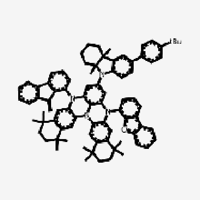 C=C1c2ccccc2-c2cccc(N3c4cc5c(cc4B4c6cc7c(cc6N(c6cccc8c6oc6ccccc68)c6cc(N8c9ccc(-c%10ccc(C(C)(C)C)cc%10)cc9C9(C)CCCCC89C)cc3c64)C(C)(C)CCC7(C)C)C(C)(C)CCC5(C)C)c21